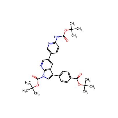 CC(C)(C)OC(=O)Nc1ccc(-c2cnc3c(c2)c(-c2ccc(C(=O)OC(C)(C)C)cc2)cn3C(=O)OC(C)(C)C)cn1